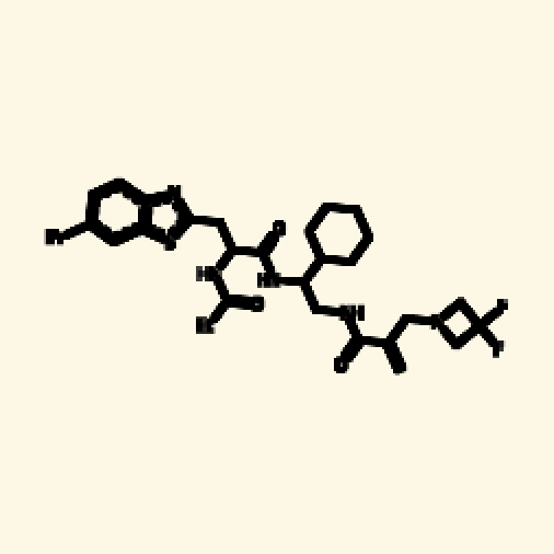 C=C(CN1CC(F)(F)C1)C(=O)NCC(NC(=O)C(Cc1nc2ccc(C(C)C)cc2s1)NC(=O)CC)C1CCCCC1